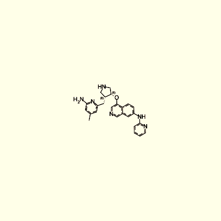 Cc1cc(N)nc(C[C@@H]2CNC[C@@H]2Oc2cncc3cc(Nc4ccccn4)ccc23)c1